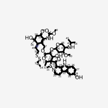 COC(=O)NC1=C(COC2OC(C)C(SC)(C(=O)c3nccc4c3[nH]c3ccc(O)cc34)C(O)C2OC2CC(OC)C(NC(C)C)CO2)/C(=C\CSSSC)[C@@](C)(O)CC1=O